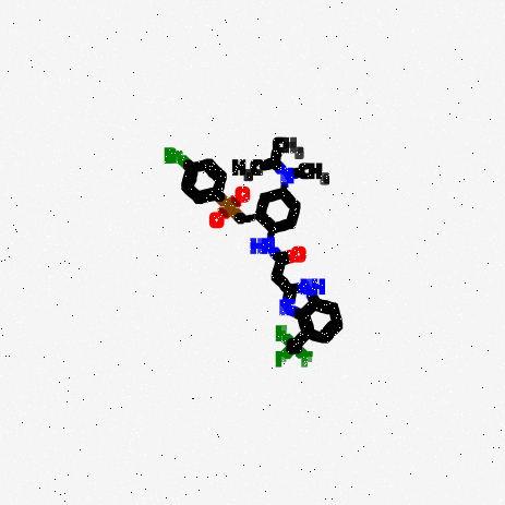 CC(C)N(C)[C@@H]1CC[C@H](NC(=O)Cc2nc3c(C(F)(F)F)cccc3[nH]2)[C@H](CS(=O)(=O)c2ccc(Br)cc2)C1